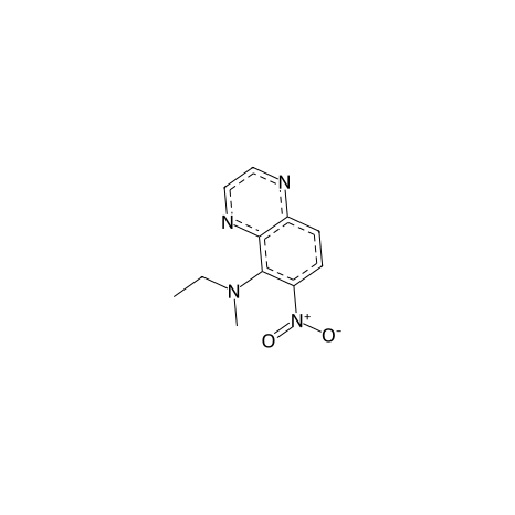 CCN(C)c1c([N+](=O)[O-])ccc2nccnc12